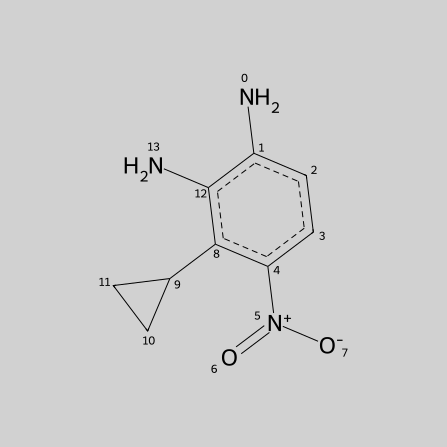 Nc1ccc([N+](=O)[O-])c(C2CC2)c1N